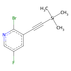 C[Si](C)(C)C#Cc1cc(F)cnc1Br